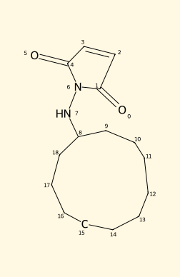 O=C1C=CC(=O)N1NC1CCCCCCCCCC1